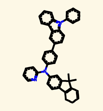 CC1(C)C2=C(CCC=C2)c2ccc(N(c3ccc(-c4ccc5c(c4)c4ccccc4n5-c4ccccc4)cc3)c3ccccn3)cc21